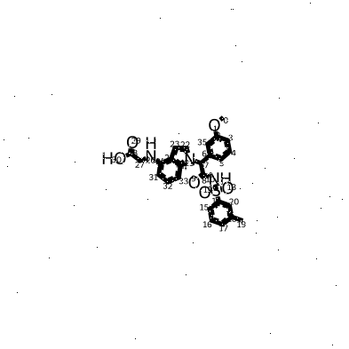 COc1cccc(C(C(=O)NS(=O)(=O)c2cccc(C)c2)n2ccc3c(NCC(=O)O)cccc32)c1